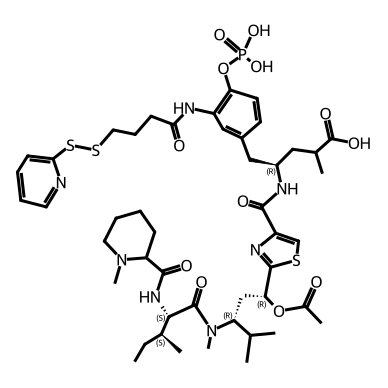 CC[C@H](C)[C@H](NC(=O)C1CCCCN1C)C(=O)N(C)[C@H](C[C@@H](OC(C)=O)c1nc(C(=O)N[C@@H](Cc2ccc(OP(=O)(O)O)c(NC(=O)CCCSSc3ccccn3)c2)CC(C)C(=O)O)cs1)C(C)C